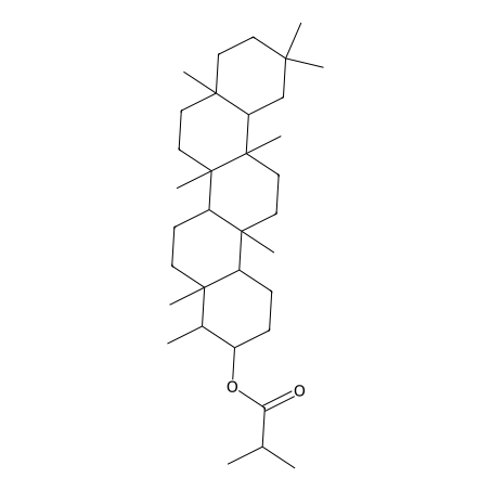 CC(C)C(=O)OC1CCC2C(C)(CCC3C2(C)CCC2(C)C4CC(C)(C)CCC4(C)CCC32C)C1C